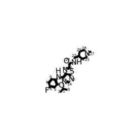 CC(C)Oc1cc(F)ccc1Nc1ncnc2sc(C(=O)NCC3CCN(C)CC3)nc12